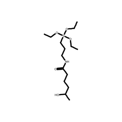 CCO[Si](CCCNC(=O)CCCC(C)O)(OCC)OCC